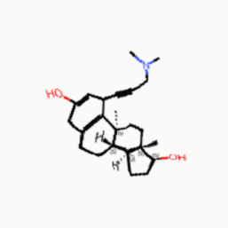 CN(C)CC#CC1C=C(O)CC2=C1[C@@]1(C)CC[C@]3(C)[C@@H](O)CC[C@H]3[C@@H]1CC2